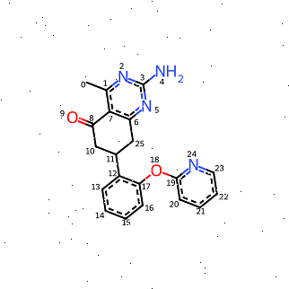 Cc1nc(N)nc2c1C(=O)CC(c1ccccc1Oc1ccccn1)C2